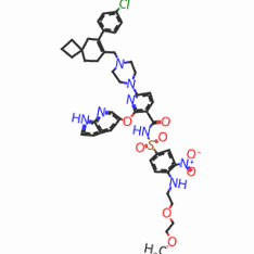 COCCOCCNc1ccc(S(=O)(=O)NC(=O)c2ccc(N3CCN(CC4=C(c5ccc(Cl)cc5)CC5(CCC5)CC4)CC3)nc2Oc2cnc3[nH]ccc3c2)cc1[N+](=O)[O-]